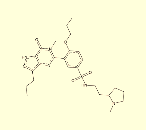 CCCOc1ccc(S(=O)(=O)NCCC2CCCN2C)cc1-c1nc2c(CCC)n[nH]c2c(=O)n1C